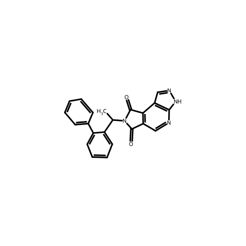 CC(c1ccccc1-c1ccccc1)N1C(=O)c2cnc3[nH]ncc3c2C1=O